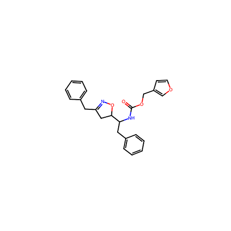 O=C(NC(Cc1ccccc1)C1CC(Cc2ccccc2)=NO1)OCc1ccoc1